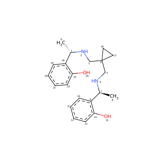 C[C@H](NCC1(CN[C@@H](C)c2ccccc2O)CC1)c1ccccc1O